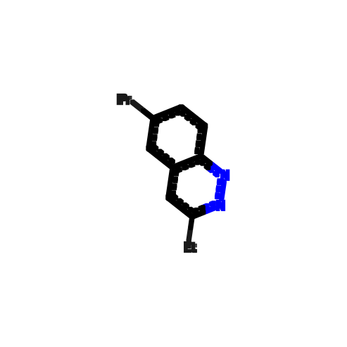 CCc1cc2cc(C(C)C)ccc2nn1